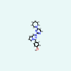 COc1ccc(CN2CCCC2CNc2nccc(N3CCCCCC3)n2)cc1